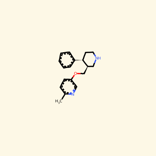 Cc1ccc(OC[C@@H]2CNCC[C@H]2c2ccccc2)cn1